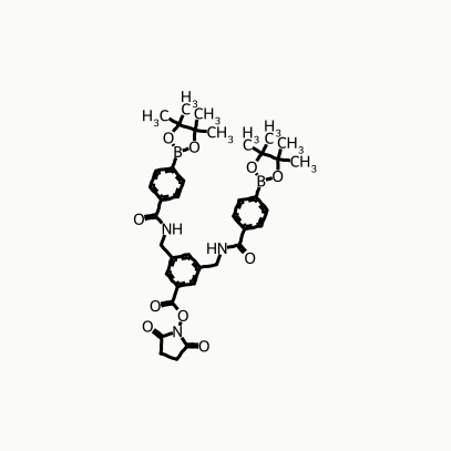 CC1(C)OB(c2ccc(C(=O)NCc3cc(CNC(=O)c4ccc(B5OC(C)(C)C(C)(C)O5)cc4)cc(C(=O)ON4C(=O)CCC4=O)c3)cc2)OC1(C)C